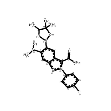 CNC(=O)c1c2cc(B3OC(C)C(C)(C)O3)c(N(C)S)cc2nn1-c1ccc(F)cc1